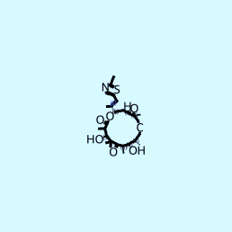 C/C(=C\c1cnc(C)s1)[C@@H]1C[C@@H]2O[C@]2(C)CCC[C@H](C)[C@H](O)[C@@H](C)C(=O)C(C)(C)[C@@H](O)C(C)C(=O)O1